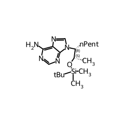 CCCCC[C@H]([C@H](C)O[Si](C)(C)C(C)(C)C)n1cnc2c(N)ncnc21